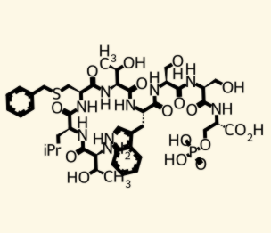 CC(C)C[C@H](NC(=O)[C@@H](N)[C@@H](C)O)C(=O)N[C@@H](CSCc1ccccc1)C(=O)N[C@H](C(=O)N[C@@H](Cc1c[nH]c2ccccc12)C(=O)N[C@@H](CO)C(=O)N[C@@H](CO)C(=O)N[C@@H](COP(=O)(O)O)C(=O)O)[C@@H](C)O